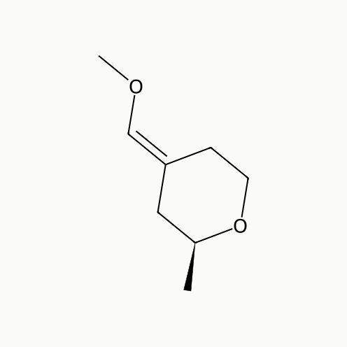 COC=C1CCO[C@@H](C)C1